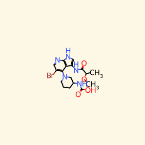 COC(C)C(=O)Nc1c[nH]c2ncc(Br)c(N3CCCC(NC(=O)O)C3)c12